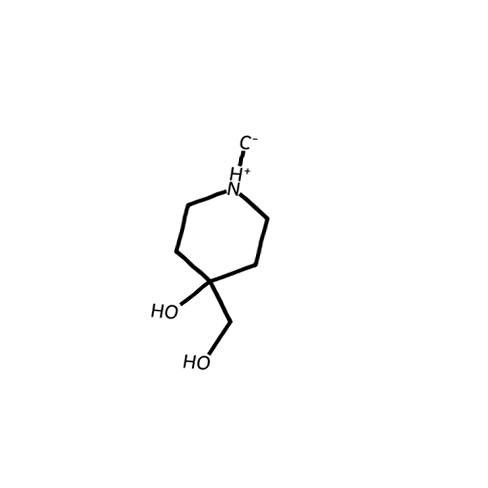 [CH2-][NH+]1CCC(O)(CO)CC1